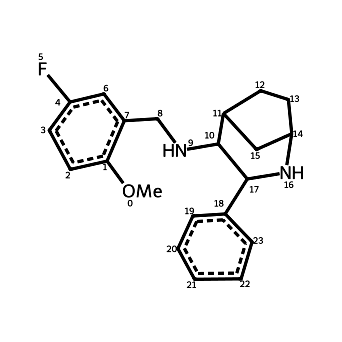 COc1ccc(F)cc1CNC1C2CCC(C2)NC1c1ccccc1